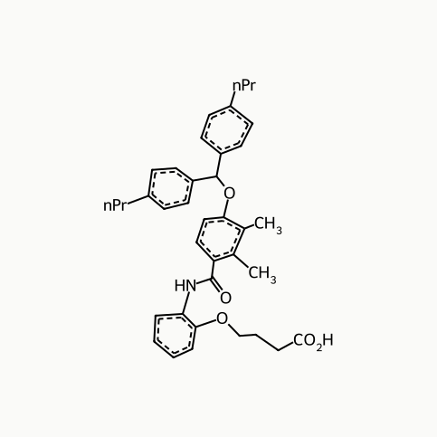 CCCc1ccc(C(Oc2ccc(C(=O)Nc3ccccc3OCCCC(=O)O)c(C)c2C)c2ccc(CCC)cc2)cc1